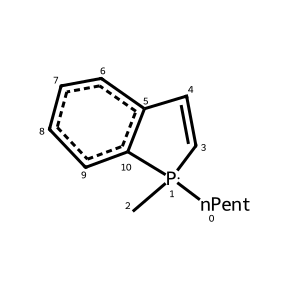 CCCCC[P]1(C)C=Cc2ccccc21